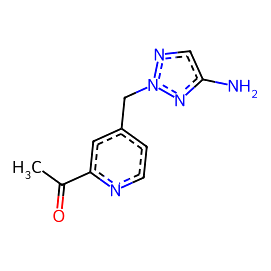 CC(=O)c1cc(Cn2ncc(N)n2)ccn1